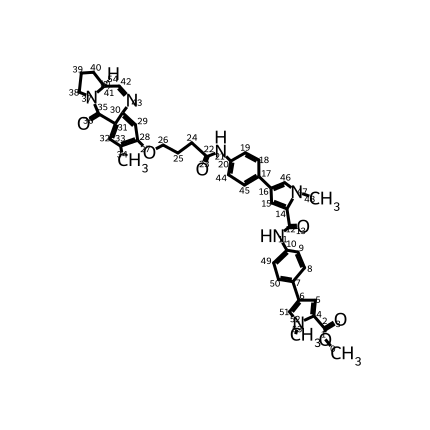 COC(=O)c1cc(-c2ccc(NC(=O)c3cc(-c4ccc(NC(=O)CCCOc5cc6c(cc5C)C(=O)N5CCC[C@H]5C=N6)cc4)cn3C)cc2)cn1C